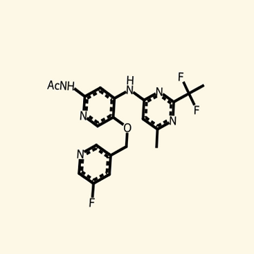 CC(=O)Nc1cc(Nc2cc(C)nc(C(C)(F)F)n2)c(OCc2cncc(F)c2)cn1